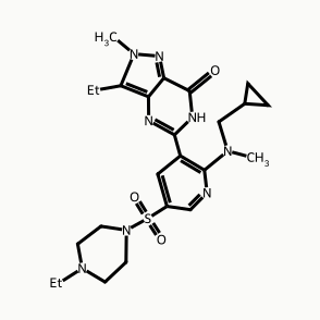 CCc1c2nc(-c3cc(S(=O)(=O)N4CCN(CC)CC4)cnc3N(C)CC3CC3)[nH]c(=O)c2nn1C